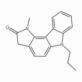 CCCn1c2ccccc2c2c3c(ccc21)CC(=O)N3C